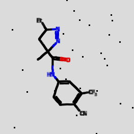 CCC1CC(C)(C(=O)Nc2ccc(C#N)c(C(F)(F)F)c2)N=N1